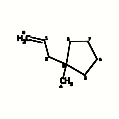 C=CCC1(C)CCCC1